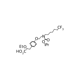 CCOC(Cc1ccc(OCCN(CCCCCCC(F)(F)F)C(=O)OC(C)C)cc1)C(=O)O